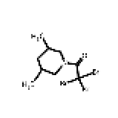 CC1CC(C)CN(C(=O)C(Br)(Br)Br)C1